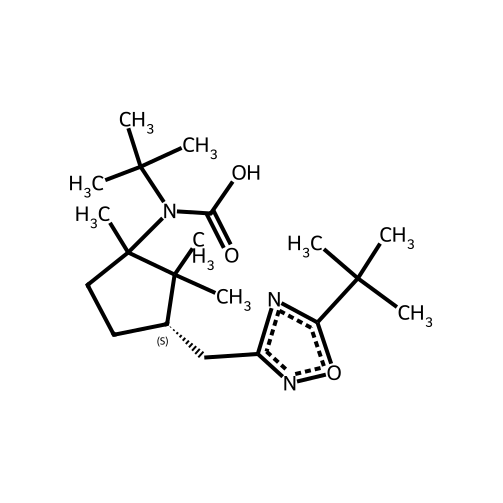 CC(C)(C)c1nc(C[C@@H]2CCC(C)(N(C(=O)O)C(C)(C)C)C2(C)C)no1